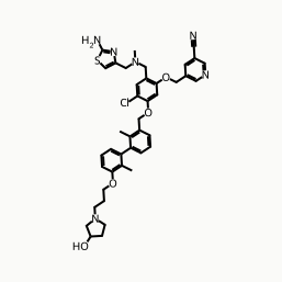 Cc1c(COc2cc(OCc3cncc(C#N)c3)c(CN(C)Cc3csc(N)n3)cc2Cl)cccc1-c1cccc(OCCCN2CCC(O)C2)c1C